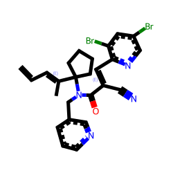 C=C/C=C(\C)C1(N(Cc2cccnc2)C(=O)/C(C#N)=C/c2ncc(Br)cc2Br)CCCC1